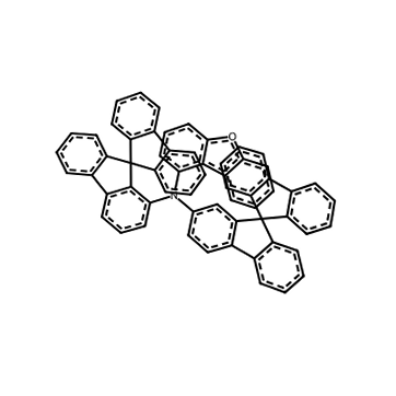 c1ccc2c(c1)-c1ccccc1C21c2ccccc2-c2ccc(N(c3cccc4c3C3(c5ccccc5-c5ccccc53)c3ccccc3-4)c3cccc4oc5ccccc5c34)cc21